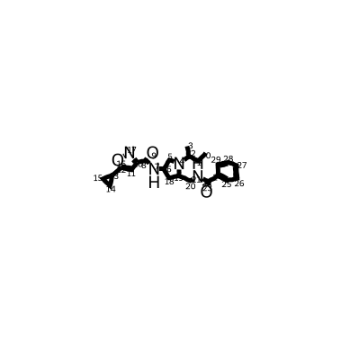 CCC(C)N1CC(NC(=O)c2cc(C3CC3)on2)CC1CNC(=O)c1ccccc1